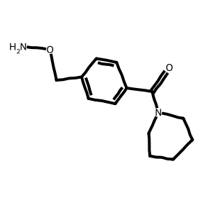 NOCc1ccc(C(=O)N2CCCCC2)cc1